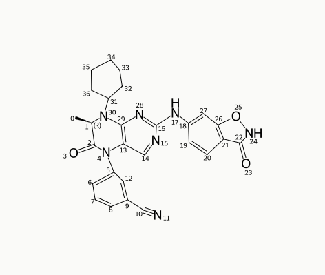 C[C@@H]1C(=O)N(c2cccc(C#N)c2)c2cnc(Nc3ccc4c(=O)[nH]oc4c3)nc2N1C1CCCCC1